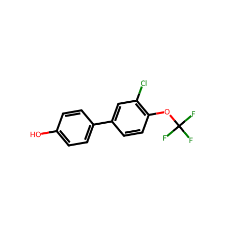 Oc1ccc(-c2ccc(OC(F)(F)F)c(Cl)c2)cc1